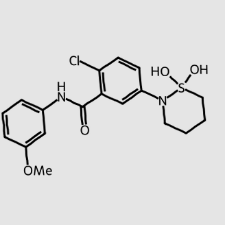 COc1cccc(NC(=O)c2cc(N3CCCCS3(O)O)ccc2Cl)c1